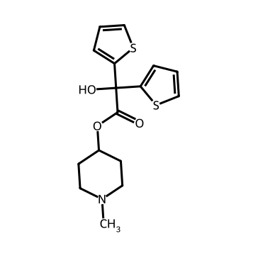 CN1CCC(OC(=O)C(O)(c2cccs2)c2cccs2)CC1